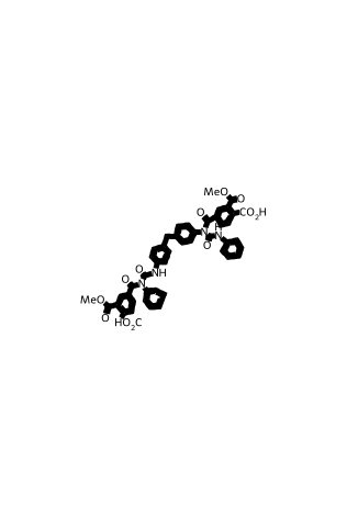 COC(=O)c1cc(C(=O)N(C(=O)Nc2ccc(Cc3ccc(N(C(=O)Nc4ccccc4)C(=O)c4ccc(C(=O)O)c(C(=O)OC)c4)cc3)cc2)c2ccccc2)ccc1C(=O)O